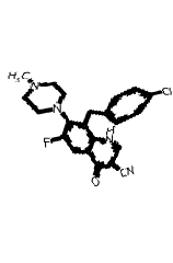 CN1CCN(c2c(F)cc3c(=O)c(C#N)c[nH]c3c2Cc2ccc(Cl)cc2)CC1